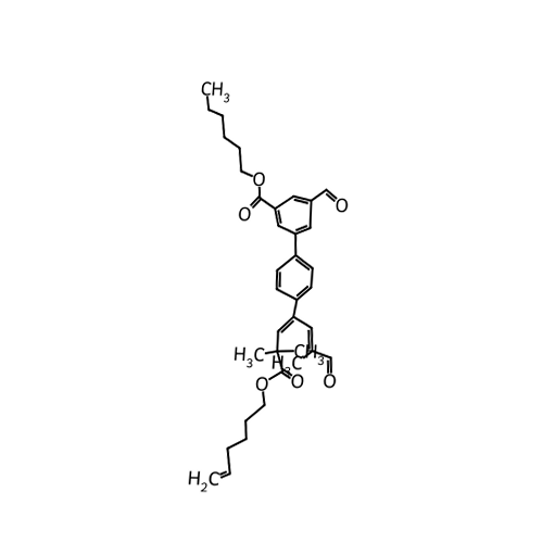 C=CCCCCOC(=O)C(C)(C)/C=C(\C=C(/C)C=O)c1ccc(-c2cc(C=O)cc(C(=O)OCCCCCC)c2)cc1